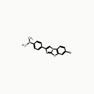 CN(C)c1ccc(-c2cn3c(n2)sc2cc(Br)ccc23)cc1